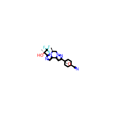 C[C@H]1Cn2nc(C34CCC(C#N)(CC3)OC4)cc2-c2cnc([C@@](C)(O)C(F)(F)F)n21